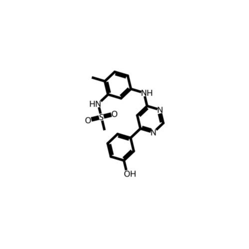 Cc1ccc(Nc2cc(-c3cccc(O)c3)ncn2)cc1NS(C)(=O)=O